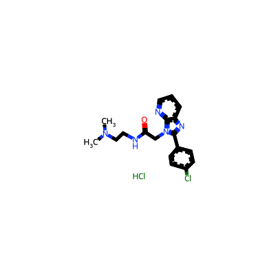 CN(C)CCNC(=O)Cn1c(-c2ccc(Cl)cc2)nc2cccnc21.Cl